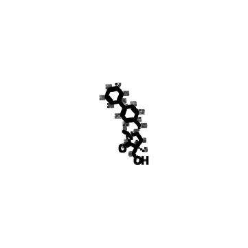 CN1C(=O)[C@](C)(CO)C[C@H]1Cc1ccc(-c2ccccc2)cc1